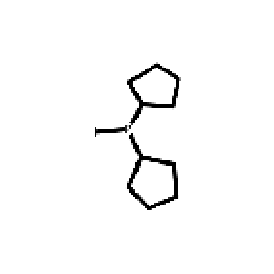 IP(C1CCCC1)C1CCCC1